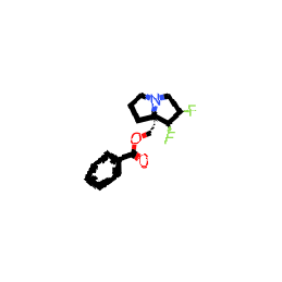 O=C(OC[C@]12CCCN1C[C@@H](F)[C@H]2F)c1ccccc1